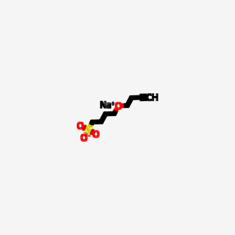 C#CCCOCCCCS(=O)(=O)[O-].[Na+]